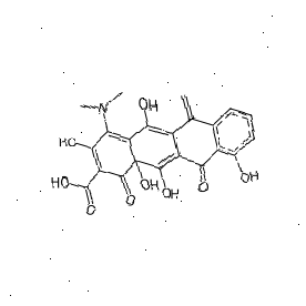 C=C1C2=C(O)C3=C(N(C)C)C(O)=C(C(=O)O)C(=O)C3(O)C(O)=C2C(=O)c2c(O)cccc21